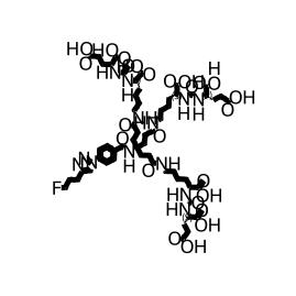 O=C(O)CCC(NC(=O)N[C@@H](CCCCNC(=O)CCC(CCC(=O)NCCCCC(NC(=O)N[C@@H](CCC(=O)O)C(=O)O)C(=O)O)(CCC(=O)NCCCC[C@H](NC(=O)N[C@@H](CCC(=O)O)C(=O)O)C(=O)O)NC(=O)c1ccc(-n2cc(CCCF)nn2)cc1)C(=O)O)C(=O)O